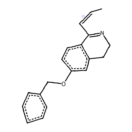 C/C=C\C1=NCCc2cc(OCc3ccccc3)ccc21